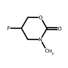 CN1CC(F)COC1=O